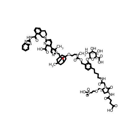 Cc1c(-c2ccc(N3CCc4cccc(C(=O)Nc5nc6ccccc6s5)c4C3)nc2C(=O)O)cnn1CC12CC3CC(C)(C1)CC(OCCN(C)C(=O)OCc1ccc(CCCCNC(=O)CN4C(=O)[C@@H](NC(=O)CCC(=O)O)C[C@H]4COCCS(=O)(=O)O)cc1O[C@@H]1O[C@H](C(=O)O)[C@@H](O)[C@H](O)[C@H]1O)(C3)C2